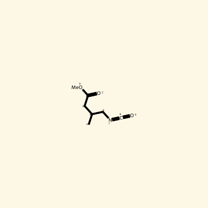 COC(=O)CC(C)CN=C=O